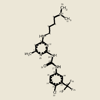 Cc1cc(NCCCCN(C)C)nc(NC(=O)Nc2ccc(Cl)c(C(F)(F)F)c2)n1